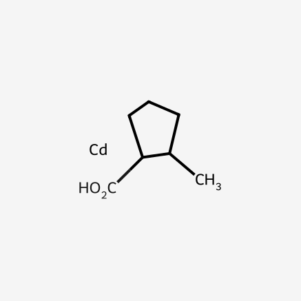 CC1CCCC1C(=O)O.[Cd]